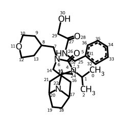 CC(C)N1C(=O)N(CC2CCOCC2)CC12CC1CCC(C2)N1CC[C@H](NC(=O)CO)c1ccccc1